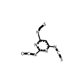 O=C=Nc1nc(N=C=S)cc(N=C=S)n1